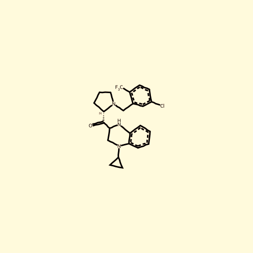 O=C(C1CN(C2CC2)c2ccccc2N1)[C@@H]1CCCN1Cc1cc(Cl)ccc1C(F)(F)F